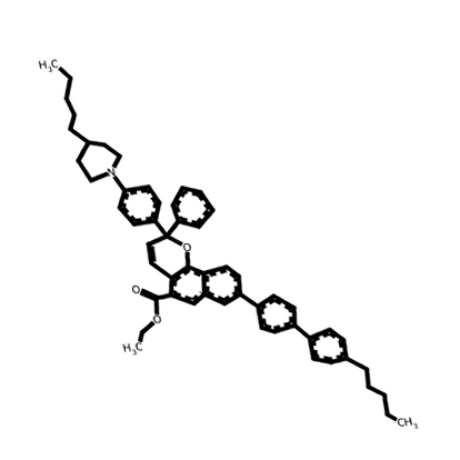 CCCCCc1ccc(-c2ccc(-c3ccc4c5c(c(C(=O)OCC)cc4c3)C=CC(c3ccccc3)(c3ccc(N4CCC(CCCCC)CC4)cc3)O5)cc2)cc1